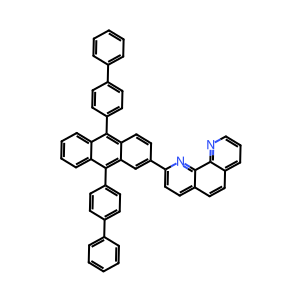 c1ccc(-c2ccc(-c3c4ccccc4c(-c4ccc(-c5ccccc5)cc4)c4cc(-c5ccc6ccc7cccnc7c6n5)ccc34)cc2)cc1